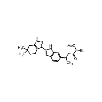 CCC(OC)C(=O)CN(C)c1ccc2cc(-c3n[nH]c4c3CCC(C)(C)C4)[nH]c2c1